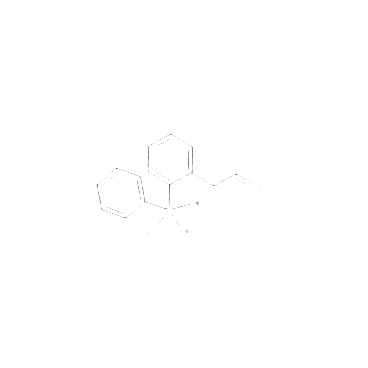 C=CCc1ccccc1P(O)(O)(O)c1ccccc1